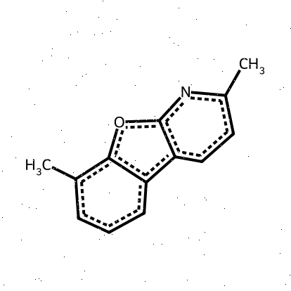 Cc1ccc2c(n1)oc1c(C)cccc12